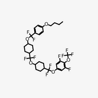 CCCCOc1ccc(C(F)(F)OC2CCC(C(F)(F)OC3CCC(C(F)(F)Oc4cc(F)c(OC(F)(F)F)c(F)c4)CC3)CC2)cc1